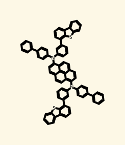 c1ccc(-c2ccc(N(c3cccc(-c4cccc5c4sc4ccccc45)c3)c3ccc4ccc5c(N(c6ccc(-c7ccccc7)cc6)c6cccc(-c7cccc8c7sc7ccccc78)c6)ccc6ccc3c4c65)cc2)cc1